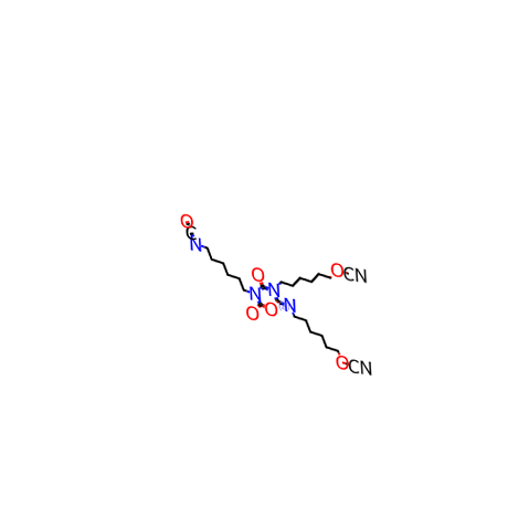 N#COCCCCCC/N=c1\oc(=O)n(CCCCCCN=C=O)c(=O)n1CCCCCCOC#N